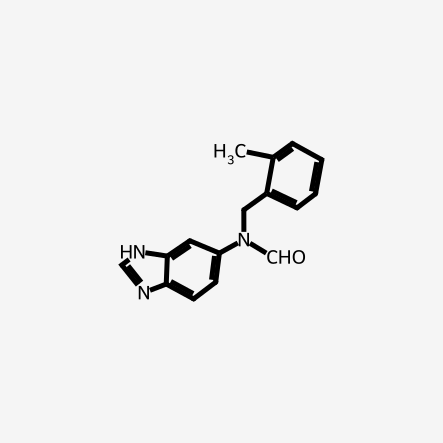 Cc1ccccc1CN(C=O)c1ccc2nc[nH]c2c1